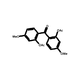 COc1ccc(C(=O)c2ccc(OC)cc2OC(C)=O)c(OC(C)=O)c1